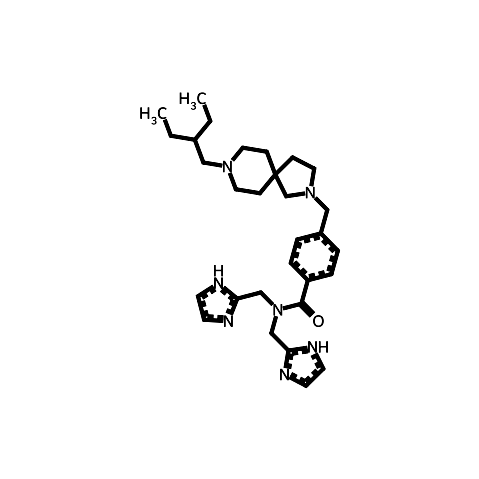 CCC(CC)CN1CCC2(CC1)CCN(Cc1ccc(C(=O)N(Cc3ncc[nH]3)Cc3ncc[nH]3)cc1)C2